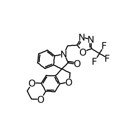 O=C1N(Cc2nnc(C(F)(F)F)o2)c2ccccc2C12COc1cc3c(cc12)OCCO3